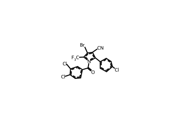 N#Cc1c(Br)c(C(F)(F)F)n(C(=O)c2ccc(Cl)c(Cl)c2)c1-c1ccc(Cl)cc1